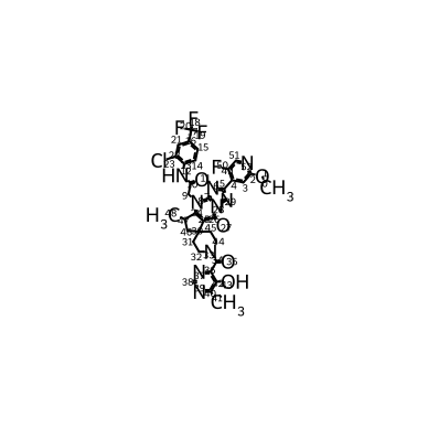 COc1cc(-c2nc3n(CC(=O)Nc4ccc(C(F)(F)F)cc4Cl)c4c(c(=O)n3n2)C2(CCN(C(=O)c3ncnc(C)c3O)CC2)CC4C)c(F)cn1